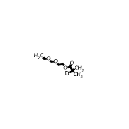 C=COCOCCOC(=O)C(C)(C)CC